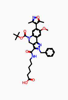 COc1cc2c(cc1-c1c(C)noc1C)N(C(=O)OC(C)(C)C)Cc1c-2nn(Cc2ccccc2)c1C(=O)NCCCCCC(=O)O